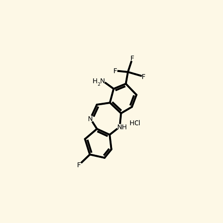 Cl.Nc1c(C(F)(F)F)ccc2c1C=Nc1cc(F)ccc1N2